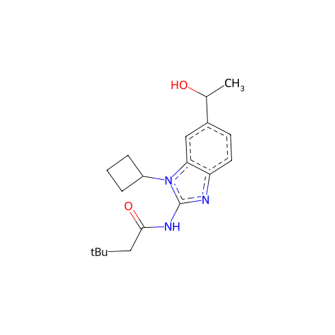 CC(O)c1ccc2nc(NC(=O)CC(C)(C)C)n(C3CCC3)c2c1